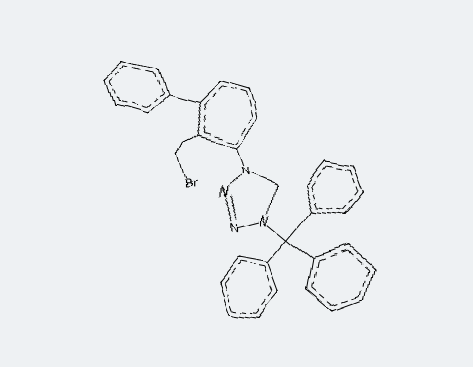 BrCc1c(-c2ccccc2)cccc1N1CN(C(c2ccccc2)(c2ccccc2)c2ccccc2)N=N1